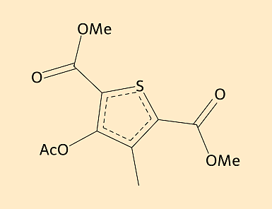 COC(=O)c1sc(C(=O)OC)c(OC(C)=O)c1C